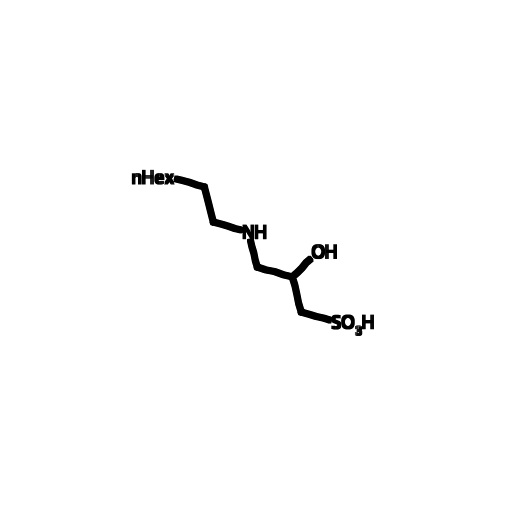 CCCCCCCCNCC(O)CS(=O)(=O)O